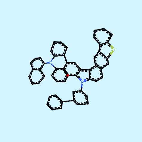 c1ccc(-c2cccc(-n3c4ccc(-c5ccccc5N(c5ccccc5)c5cccc6ccccc56)cc4c4c5cc6c(cc5ccc43)sc3ccccc36)c2)cc1